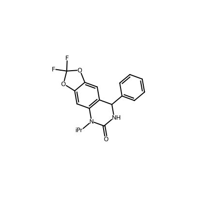 CC(C)N1C(=O)NC(c2ccccc2)c2cc3c(cc21)OC(F)(F)O3